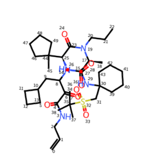 C=CCNC(=O)C(=O)C(CC1CCC1)NC(=O)[C@H](C)N(CCC)C(=O)[C@@H](NC(=O)NC1(CS(=O)(=O)C(C)(C)C)CCCCC1)C1(C)CCCC1